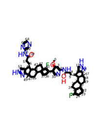 COc1cc(NC(O)CC[C@@H]2c3c[nH]nc3[C@@]3(C)CCC4c5cccc(F)c5CCC4C23)ncc1-c1ccc2c(c1F)CCC1C2CC[C@]2(C)c3n[nH]cc3[C@@H](CCC(=O)Nc3cnccn3)C12